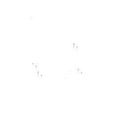 CCC[C@@H](C)N1Cc2nccc(-c3cn(C)nc3-c3ccc(F)cc3)c2C1=O